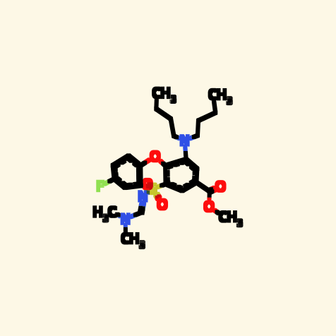 CCCCN(CCCC)c1cc(C(=O)OC)cc(S(=O)(=O)/N=C/N(C)C)c1Oc1ccc(F)cc1